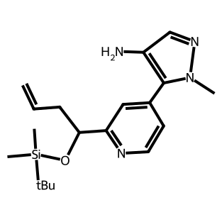 C=CCC(O[Si](C)(C)C(C)(C)C)c1cc(-c2c(N)cnn2C)ccn1